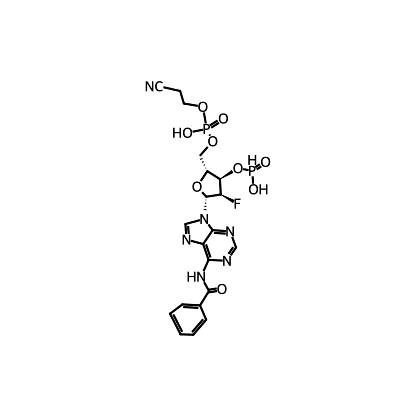 N#CCCOP(=O)(O)OC[C@H]1O[C@@H](n2cnc3c(NC(=O)c4ccccc4)ncnc32)[C@H](F)[C@@H]1O[PH](=O)O